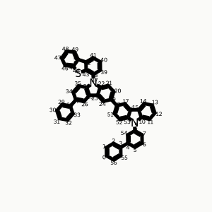 c1ccc(-c2cccc(-n3c4ccccc4c4cc(-c5ccc6c(c5)c5cc(-c7ccccc7)ccc5n6-c5cccc6c5sc5ccccc56)ccc43)c2)cc1